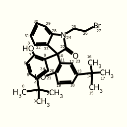 CC(C)(C)c1ccc(O)c(C2(c3cc(C(C)(C)C)ccc3O)C(=O)N(CCBr)c3ccccc32)c1